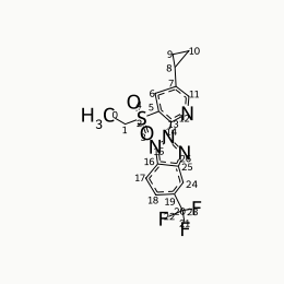 CCS(=O)(=O)c1cc(C2CC2)cnc1-n1nc2ccc(C(F)(F)F)cc2n1